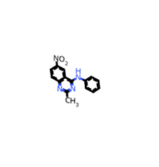 Cc1nc(Nc2ccccc2)c2cc([N+](=O)[O-])ccc2n1